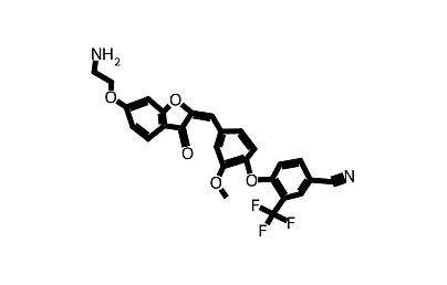 COc1cc(C=C2Oc3cc(OCCN)ccc3C2=O)ccc1Oc1ccc(C#N)cc1C(F)(F)F